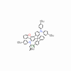 C=C/C=C(\C=C/C(C)(C)C)N(c1ccc(C(C)(C)C)cc1)c1cc2c(c3oc4ccccc4c13)-c1ccc(N(c3ccc(C(C)(C)C)cc3)c3ccc(C(C)(C)C)cc3)cc1C21c2ccccc2-c2ccc(Cl)cc21